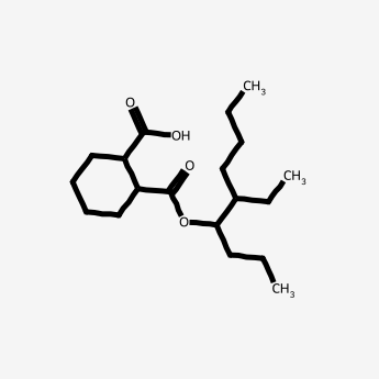 CCCCC(CC)C(CCC)OC(=O)C1CCCCC1C(=O)O